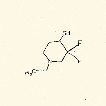 CCN1CCC(O)C(F)(F)C1